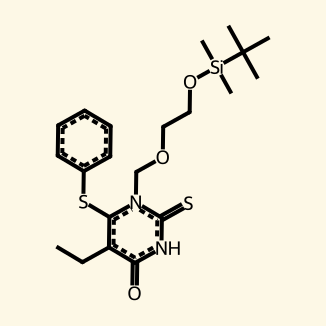 CCc1c(Sc2ccccc2)n(COCCO[Si](C)(C)C(C)(C)C)c(=S)[nH]c1=O